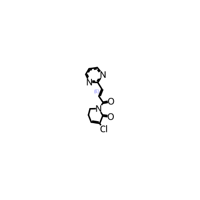 O=C(/C=C/c1ncccn1)N1CCC=C(Cl)C1=O